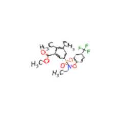 CCN(Oc1ccc(C(F)(F)F)cc1)S(=O)(=O)c1cc(C)c(C)c(C(=O)OC)c1